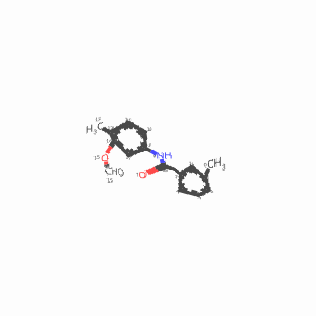 Cc1cccc(C(=O)Nc2ccc(C)c(OC=O)c2)c1